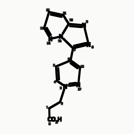 O=C(O)CC[n+]1ccc(-c2nnc3cccnn23)cn1